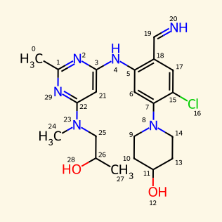 Cc1nc(Nc2cc(N3CCC(O)CC3)c(Cl)cc2C=N)cc(N(C)CC(C)O)n1